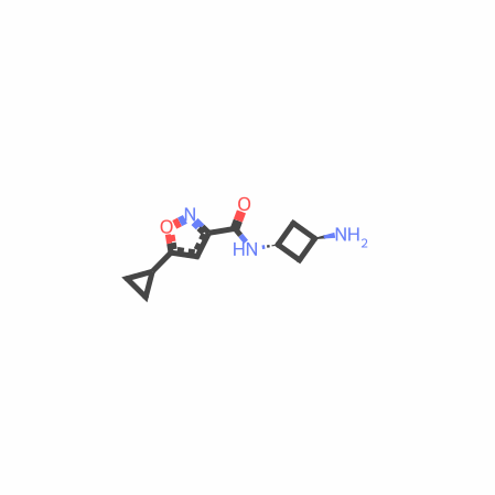 N[C@H]1C[C@H](NC(=O)c2cc(C3CC3)on2)C1